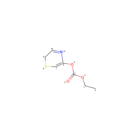 CCOC(=O)OC1=CSCC=N1